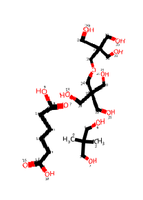 CC(C)(CO)CO.O=C(O)CCCCC(=O)O.OCC(CO)(CO)COCC(CO)(CO)CO